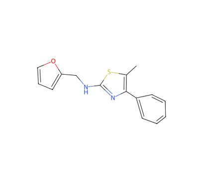 Cc1sc(NCc2ccco2)nc1-c1ccccc1